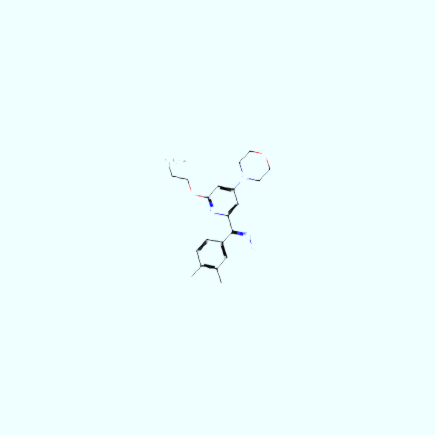 CNCCOc1cc(N2CCOCC2)cc(C(=NN)c2ccc(C)c(C)c2)n1